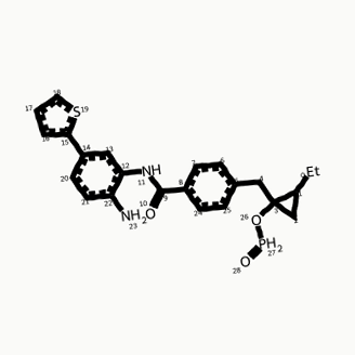 CCC1CC1(Cc1ccc(C(=O)Nc2cc(-c3cccs3)ccc2N)cc1)O[PH2]=O